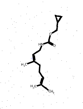 CC(C)=CCC/C(C)=C\CNC(=O)OCC1CC1